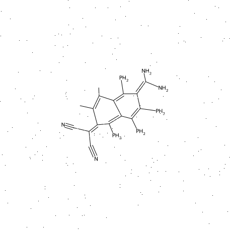 Cc1c(C)c2c(P)c(=C(N)N)c(P)c(P)c2c(P)c1=C(C#N)C#N